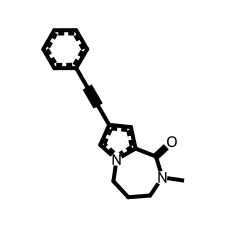 CN1CCCn2cc(C#Cc3ccccc3)cc2C1=O